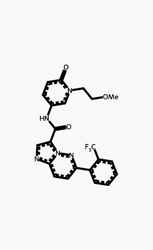 COCCn1cc(NC(=O)c2cnc3ccc(-c4ccccc4C(F)(F)F)nn23)ccc1=O